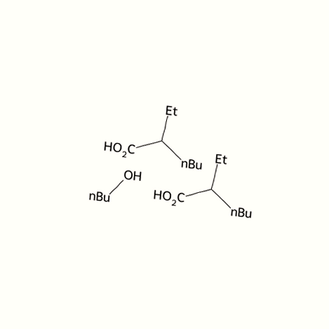 CCCCC(CC)C(=O)O.CCCCC(CC)C(=O)O.CCCCO